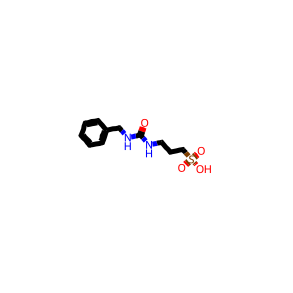 O=C(NCCCS(=O)(=O)O)NCc1ccccc1